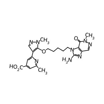 Cc1cc(C(=O)O)cc(-c2cnn(C)c2OCCCCCn2c(N)nc3cnn(C)c(=O)c32)n1